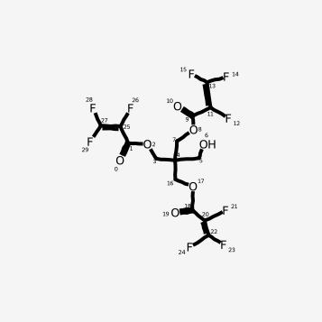 O=C(OCC(CO)(COC(=O)C(F)=C(F)F)COC(=O)C(F)=C(F)F)C(F)=C(F)F